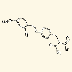 CCC(=O)C(Cc1ccc(C=Cc2ccc(OC)cc2Cl)cc1)C(=O)CC